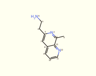 Cc1nc(CCN)cc2cccnc12